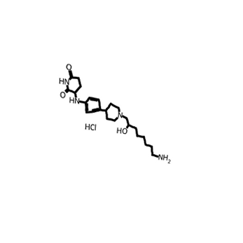 Cl.NCCCCCCC(O)CN1CCC(c2ccc(NC3CCC(=O)NC3=O)cc2)CC1